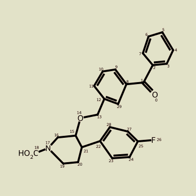 O=C(c1ccccc1)c1cccc(COC2CN(C(=O)O)CCC2c2ccc(F)cc2)c1